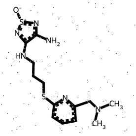 CN(C)Cc1cccc(SCCCNc2n[s+]([O-])nc2N)n1